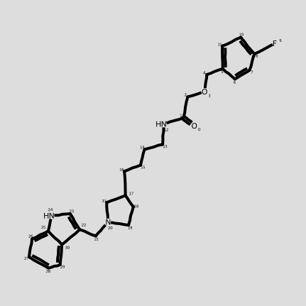 O=C(COCc1ccc(F)cc1)NCCCCC1CCN(Cc2c[nH]c3ccccc23)C1